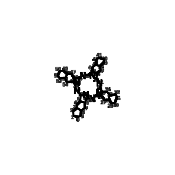 c1ccc2cc3c(cc2c1)C1=NC/3=N\C2=NC(=N\C3=NC(=N\C4=NC(=N\1)/c1cc5ccccc5cc14)/c1cc4ccccc4cc13)/c1cc3ccccc3cc12